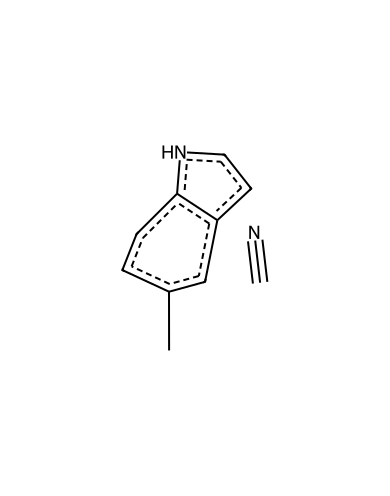 C#N.Cc1ccc2[nH]ccc2c1